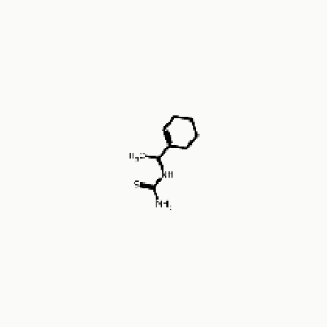 CC(NC(N)=S)C1=CCCCC1